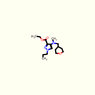 CCCn1cc(N(C)CC2CCOCC2)c(C(=O)OCC)n1